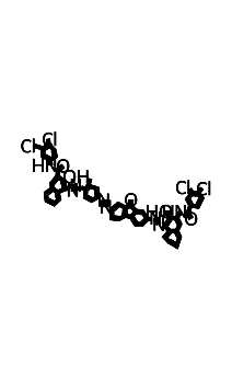 Cc1cc(N=Nc2ccc3c(c2)C(=O)c2cc(N=Nc4c(O)c(NC(=O)c5ccc(Cl)c(Cl)c5)cc5ccccc45)ccc2-3)ccc1N=Nc1c(O)c(C(=O)Nc2ccc(Cl)c(Cl)c2)cc2ccccc12